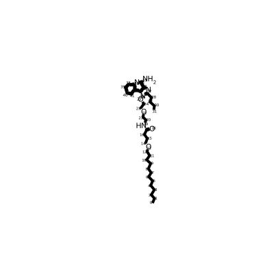 CCCCCCCCCCCCCOCCCC(=O)NCCOCCOn1c(CCCC)nc2c(N)nc3ccccc3c21